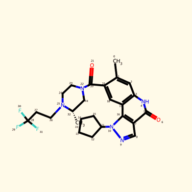 Cc1cc2[nH]c(=O)c3cnn(C4CCCC4)c3c2cc1C(=O)N1CCN(CCC(F)(F)F)[C@@H](C)C1